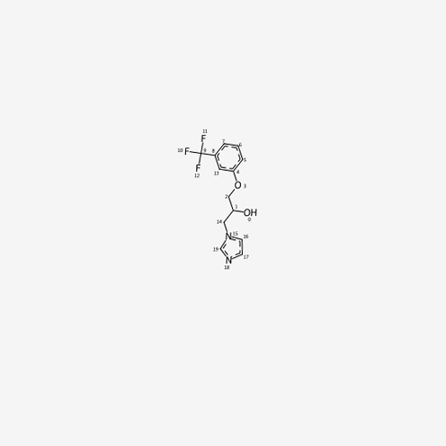 OC(COc1cccc(C(F)(F)F)c1)Cn1ccnc1